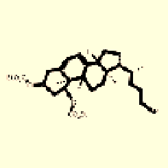 CCOC(=O)OC1CC2=CC=C3[C@@H]4CC[C@H]([C@H](C)CCCC(C)C)[C@@]4(C)CC[C@@H]3[C@@]2(C)C(OC(=O)OCC)C1